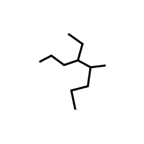 [CH2]CCC(C)C(CC)CCC